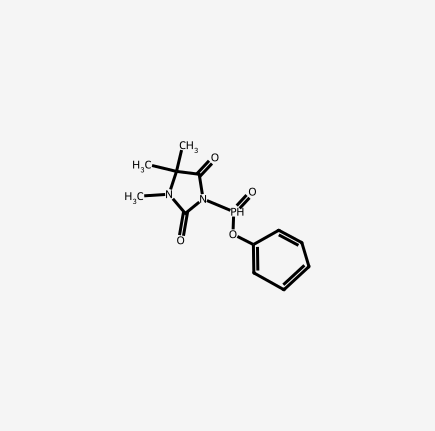 CN1C(=O)N([PH](=O)Oc2ccccc2)C(=O)C1(C)C